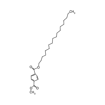 CCCCCCCCCCCCCCCCCCOC(=O)c1ccc(C(=O)OC)cc1